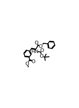 COC(=O)c1cccc(C=C(NC(=O)OC(C)(C)C)C(=O)OCc2ccccc2)c1